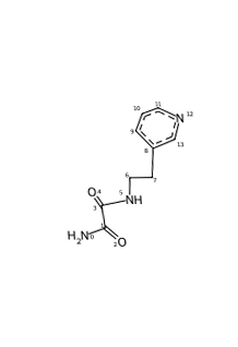 NC(=O)C(=O)NCCc1cccnc1